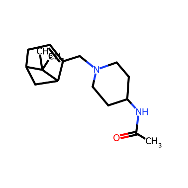 CC(=O)NC1CCN(CC2=CCC3CC2C3(C)C)CC1